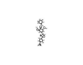 COc1cc(-c2coc(-c3ccc(N(C)C)cc3)n2)cc(OC)c1OCc1ccccc1